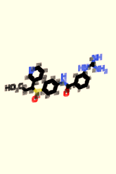 N=C(N)Nc1cccc(C(=O)Nc2ccc([S+]([O-])C(CC(=O)O)c3cccnc3)cc2)c1